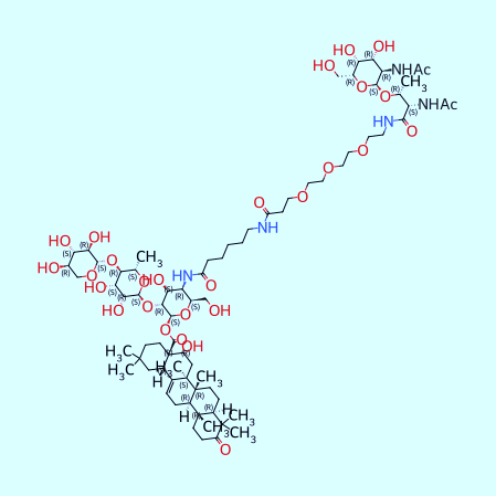 CC(=O)N[C@H]1[C@@H](O[C@H](C)[C@H](NC(C)=O)C(=O)NCCOCCOCCOCCC(=O)NCCCCCC(=O)N[C@@H]2[C@H](O)[C@@H](O[C@@H]3O[C@@H](C)[C@H](O[C@@H]4OC[C@@H](O)[C@H](O)[C@H]4O)[C@@H](O)[C@H]3O)[C@H](OC(=O)[C@]34CCC(C)(C)C[C@H]3C3=CC[C@@H]5[C@@]6(C)CCC(=O)C(C)(C)[C@@H]6CC[C@@]5(C)[C@]3(C)C[C@H]4O)O[C@@H]2CO)O[C@H](CO)[C@H](O)[C@@H]1O